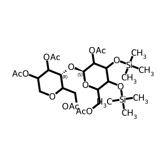 CC(=O)OCC1O[C@@H](O[C@@H]2C(COC(C)=O)OCC(OC(C)=O)C2OC(C)=O)C(OC(C)=O)C(O[Si](C)(C)C)C1O[Si](C)(C)C